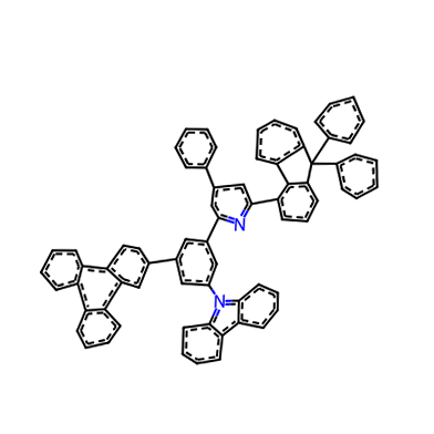 c1ccc(-c2cc(-c3cc(-c4ccc5c6ccccc6c6ccccc6c5c4)cc(-n4c5ccccc5c5ccccc54)c3)nc(-c3cccc4c3-c3ccccc3C4(c3ccccc3)c3ccccc3)c2)cc1